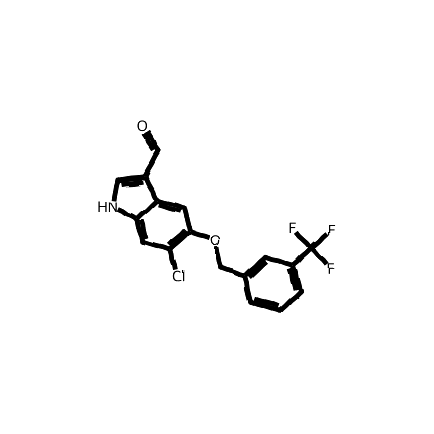 O=Cc1c[nH]c2cc(Cl)c(OCc3cccc(C(F)(F)F)c3)cc12